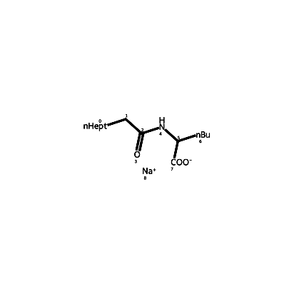 CCCCCCCCC(=O)NC(CCCC)C(=O)[O-].[Na+]